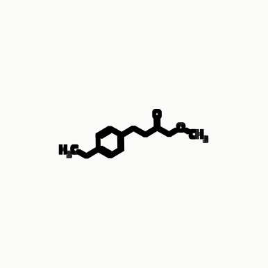 CCc1ccc(CCC(=O)COC)cc1